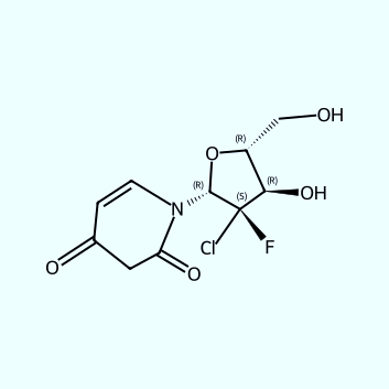 O=C1C=CN([C@@H]2O[C@H](CO)[C@@H](O)[C@]2(F)Cl)C(=O)C1